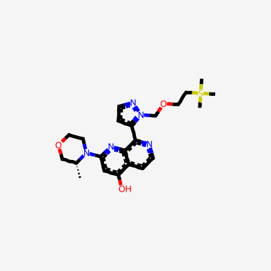 C[C@@H]1COCCN1c1cc(O)c2ccnc(-c3ccnn3COCCS(C)(C)C)c2n1